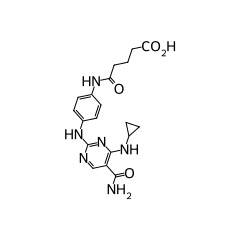 NC(=O)c1cnc(Nc2ccc(NC(=O)CCCC(=O)O)cc2)nc1NC1CC1